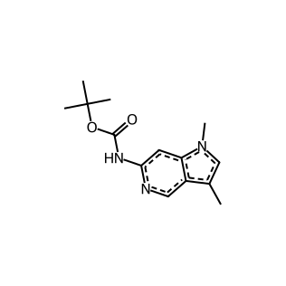 Cc1cn(C)c2cc(NC(=O)OC(C)(C)C)ncc12